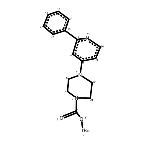 CC(C)(C)OC(=O)N1CCN(c2ccnc(-c3ccccc3)c2)CC1